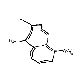 Nc1cccc2c(N)c(I)ccc12